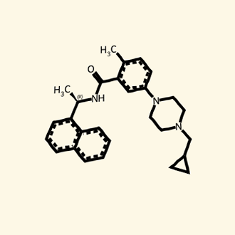 Cc1ccc(N2CCN(CC3CC3)CC2)cc1C(=O)N[C@H](C)c1cccc2ccccc12